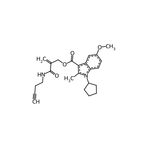 C#CCCNC(=O)C(=C)COC(=O)c1c(C)n(C2CCCC2)c2ccc(OC)cc12